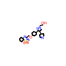 CN1C(COc2ccc(-c3nn(CCO)cc3-c3ccncc3)cc2)=Nc2ccccc2S1(=O)=O